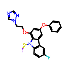 Fc1ccc2c(c1)c1cc(Oc3ccccc3)cc(OCCn3cncn3)c1n2SI